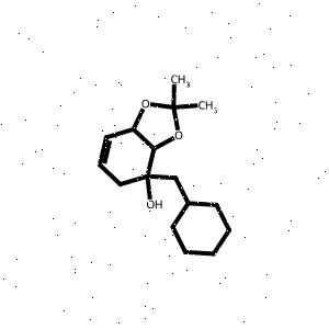 CC1(C)OC2C=CCC(O)(CC3CCCCC3)C2O1